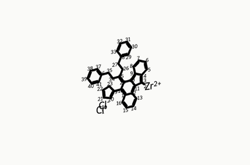 [Cl-].[Cl-].[Zr+2][C]1=c2ccccc2=c2c1c1ccccc1c(C1=CC=CC1)c2=C(CCc1ccccc1)CCc1ccccc1